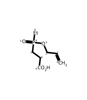 C=CCOP(=O)(CC)CCC(=O)O